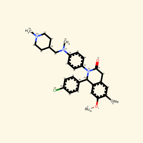 CC[C@@H](C)Oc1cc2c(cc1OC)CC(=O)N(c1ccc(N(C)CC3CCN(C)CC3)cc1)C2c1ccc(Cl)cc1